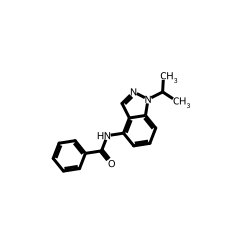 CC(C)n1ncc2c(NC(=O)c3ccccc3)cccc21